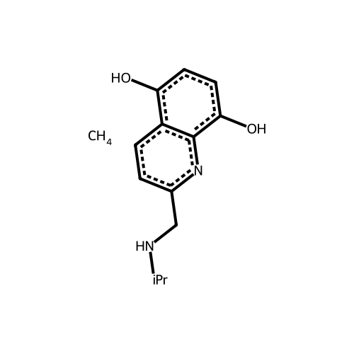 C.CC(C)NCc1ccc2c(O)ccc(O)c2n1